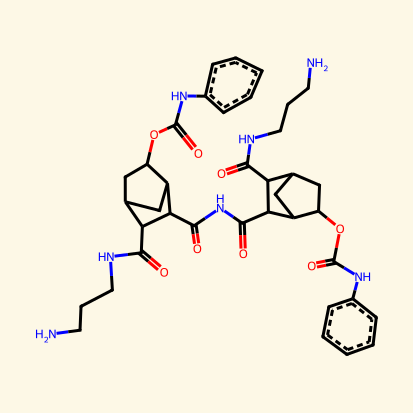 NCCCNC(=O)C1C2CC(OC(=O)Nc3ccccc3)C(C2)C1C(=O)NC(=O)C1C2CC(CC2OC(=O)Nc2ccccc2)C1C(=O)NCCCN